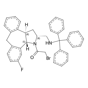 O=C(CBr)N1[C@@H](CNC(c2ccccc2)(c2ccccc2)c2ccccc2)C[C@@H]2c3ccccc3Cc3ccc(F)cc3[C@H]21